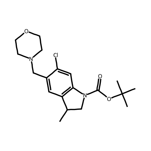 CC1CN(C(=O)OC(C)(C)C)c2cc(Cl)c(CN3CCOCC3)cc21